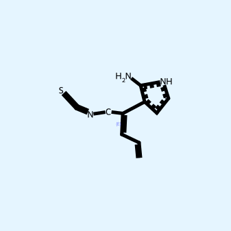 C=C/C=C(/CN=C=S)c1cc[nH]c1N